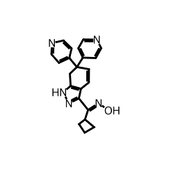 ON=C(c1n[nH]c2c1C=CC(c1ccncc1)(c1ccncc1)C2)C1CCC1